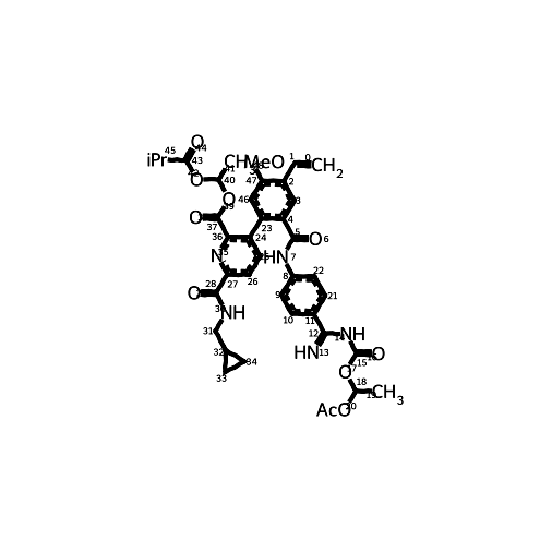 C=Cc1cc(C(=O)Nc2ccc(C(=N)NC(=O)OC(C)OC(C)=O)cc2)c(-c2ccc(C(=O)NCC3CC3)nc2C(=O)OC(C)OC(=O)C(C)C)cc1OC